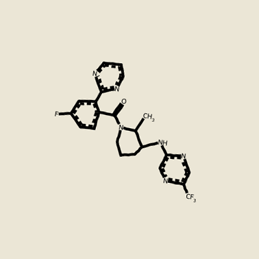 CC1C(Nc2cnc(C(F)(F)F)cn2)CCCN1C(=O)c1ccc(F)cc1-c1ncccn1